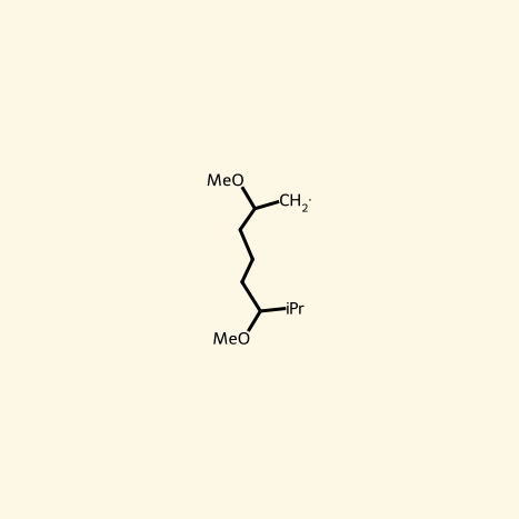 [CH2]C(CCCC(OC)C(C)C)OC